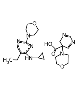 CCc1cnc(N2CCOCC2)nc1NC1CC1.O=C(O)C1(N2CCOCC2)C=NC=NC1